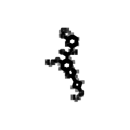 COc1cccc(NC(=O)c2cn3cc(C4CC(OC)C4)nc3cc2OC)n1